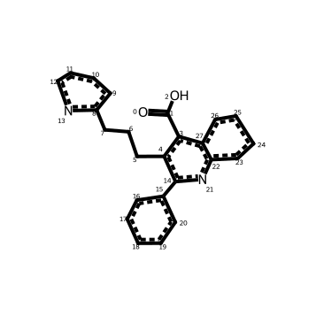 O=C(O)c1c(CCCc2ccccn2)c(-c2ccccc2)nc2ccccc12